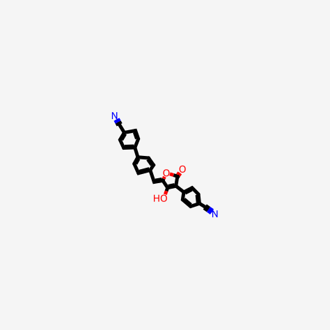 N#Cc1ccc(C2=C(O)C(=Cc3ccc(-c4ccc(C#N)cc4)cc3)OC2=O)cc1